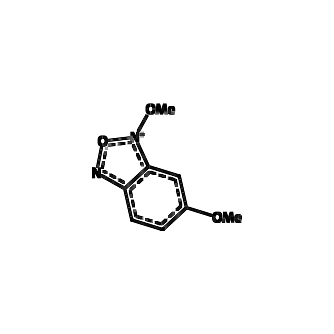 COc1ccc2no[n+](OC)c2c1